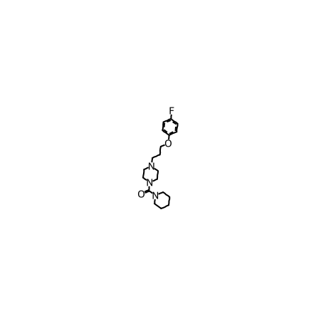 O=C(N1CCCCC1)N1CCN(CCCOc2ccc(F)cc2)CC1